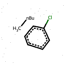 CCCCC.Clc1ccccc1